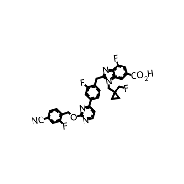 N#Cc1ccc(COc2nccc(-c3ccc(Cc4nc5c(F)cc(C(=O)O)cc5n4CC4(CF)CC4)c(F)c3)n2)c(F)c1